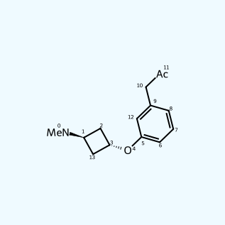 CN[C@H]1C[C@H](Oc2cccc(CC(C)=O)c2)C1